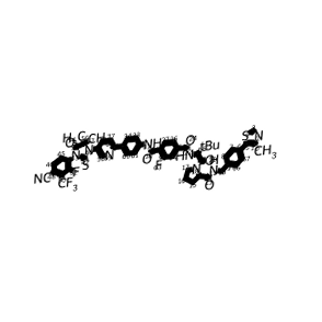 Cc1ncsc1-c1ccc(CNC(=O)C2CCCN2C(=O)C(NC(=O)c2ccc(C(=O)Nc3ccc(-c4ccc(N5C(=S)N(c6ccc(C#N)c(C(F)(F)F)c6F)C(=O)C5(C)C)cn4)cc3)c(F)c2)C(C)(C)C)cc1